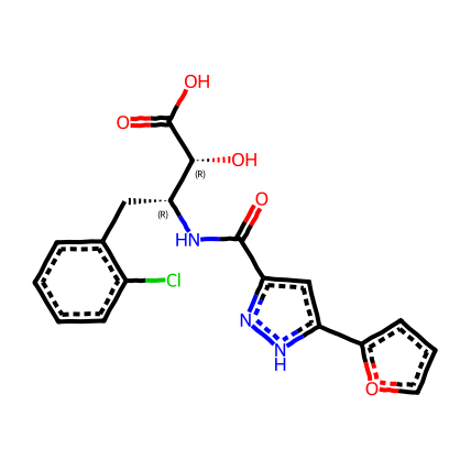 O=C(N[C@H](Cc1ccccc1Cl)[C@@H](O)C(=O)O)c1cc(-c2ccco2)[nH]n1